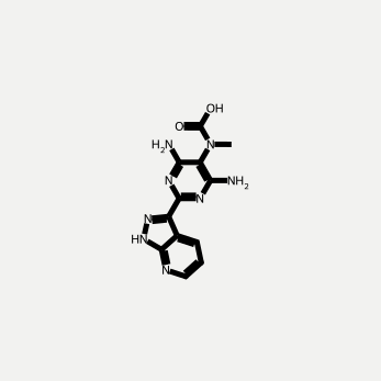 CN(C(=O)O)c1c(N)nc(-c2n[nH]c3ncccc23)nc1N